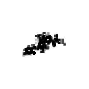 CNC(=O)c1ccc(C(C)(C)O)c(-n2c(C)cc(OCc3ccc(F)cc3F)c(Br)c2=O)c1